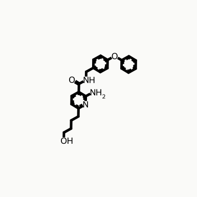 Nc1nc(CCCCO)ccc1C(=O)NCc1ccc(Oc2ccccc2)cc1